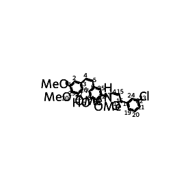 COc1cc(/C=C\c2cc(O)c(OC)c(N/C=C\C(=O)c3cccc(Cl)c3)c2)cc(OC)c1OC